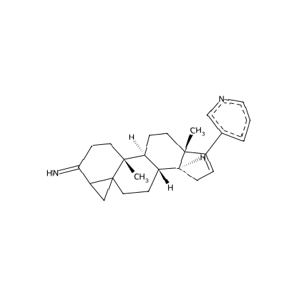 C[C@]12CC[C@H]3[C@@H](CCC45CC4C(=N)CC[C@]35C)[C@@H]1CC=C2c1cccnc1